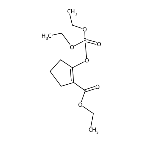 CCOC(=O)C1=C(OP(=O)(OCC)OCC)CCC1